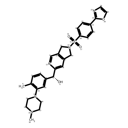 Cc1ccc([C@@H](O)c2cc3c(cn2)CN(S(=O)(=O)c2ccc(-c4ncco4)cc2)C3)cc1N1CCN(C)CC1